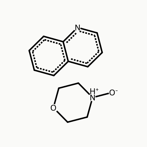 [O-][NH+]1CCOCC1.c1ccc2ncccc2c1